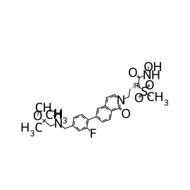 COC(C)(C)CNCc1ccc(-c2ccc3c(=O)n(CC[C@H](C(=O)NO)S(C)(=O)=O)ccc3c2)c(F)c1